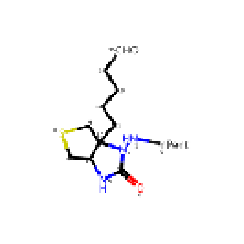 CCCCCNN1C(=O)NC2CSCC21CCCCC=O